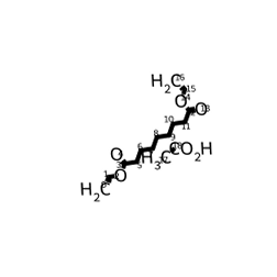 C=COC(=O)CCCCCCCC(=O)OC=C.CC(=O)O